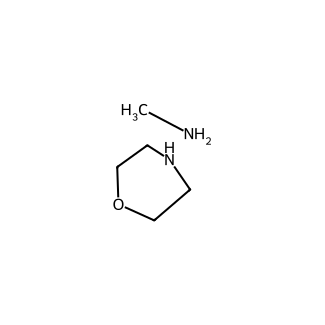 C1COCCN1.CN